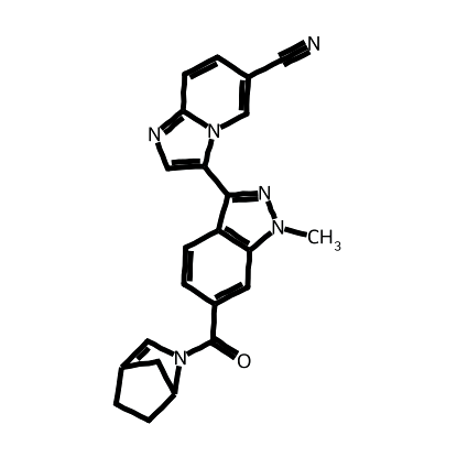 Cn1nc(-c2cnc3ccc(C#N)cn23)c2ccc(C(=O)N3C=C4CCC3C4)cc21